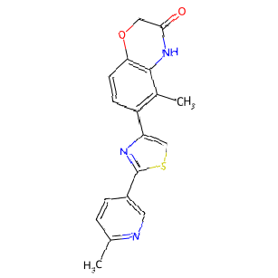 Cc1ccc(-c2nc(-c3ccc4c(c3C)NC(=O)CO4)cs2)cn1